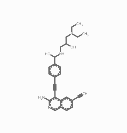 C#Cc1ccc2cnc(N)c(C#Cc3ccc(C(O)NCC(O)CN(CC)CC)cc3)c2c1